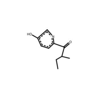 CCC(C)C(=O)c1ccc(O)cn1